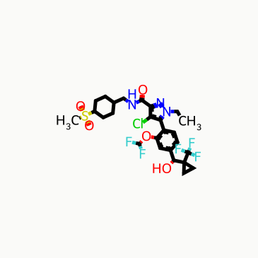 CCn1nc(C(=O)NCC2CCC(S(C)(=O)=O)CC2)c(Cl)c1-c1ccc(C(O)C2(C(F)(F)F)CC2)cc1OC(F)F